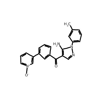 Cc1cccc(-n2ncc(C(=O)c3cccc(-c4ccc[n+]([O-])c4)c3)c2N)c1